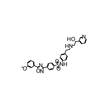 COc1cccc(-c2nc(-c3ccc(S(=O)(=O)Nc4ccc(CCNCC(O)c5cccnc5)cc4)cc3)no2)c1